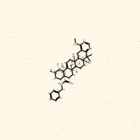 COc1ncnc2c1C[C@]1(C)[C@H]3CC=C4[C@@H]5[C@@H](C)[C@H](C)CC[C@]5(C(=O)OCc5ccccc5)CC[C@@]4(C)[C@]3(C)CC[C@H]1C2(C)C